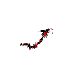 COc1ccc(C2=N[C@@H](c3ccc(Cl)cc3)[C@@H](c3ccc(Cl)cc3)N2C(=O)N2CCN(CC(=O)NCCCN3CCN(CCC(=O)NCCCNc4cc(N5CCC6(CC5)CN(c5cc(F)c(CN7CCC(C)(C)CC7)cc5F)CC(=O)N6)ncn4)CC3)C(=O)C2)c(OC(C)C)c1